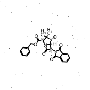 CC1(C)[C@H](C(=O)OCc2ccccc2)N2C(=O)[C@H](N3C(=O)c4ccccc4C3=O)[C@@H]2[S+]1[O-]